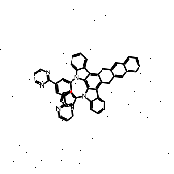 c1ccc(-n2c3ccccc3c3c4c(c5c6ccccc6n(-c6cc(-c7ncccn7)cc(-c7ncccn7)c6)c5c32)Cc2cc3ccccc3cc2C4)cc1